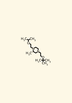 CC(C)OCCN1CCN(CCOC(C)(C)C)C[C@@H]1C